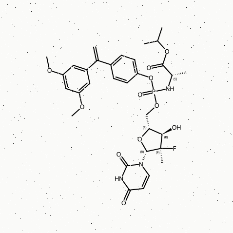 C=C(c1ccc(OP(=O)(N[C@@H](C)C(=O)OC(C)C)OC[C@H]2O[C@@H](n3ccc(=O)[nH]c3=O)[C@](C)(F)[C@@H]2O)cc1)c1cc(OC)cc(OC)c1